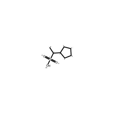 CC(C1CCCC1)S(=O)(=O)O